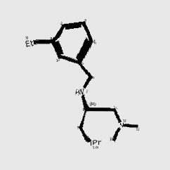 CCc1cccc(CN[C@H](CC(C)C)CN(C)C)c1